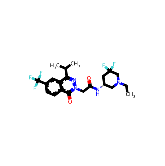 CCN1C[C@H](NC(=O)Cn2nc(C(C)C)c3cc(C(F)(F)F)ccc3c2=O)CC(F)(F)C1